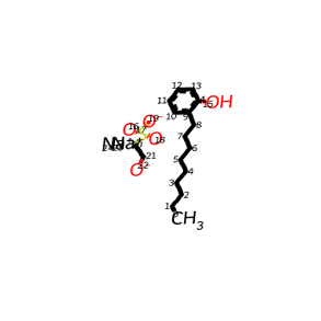 CCCCCCCCCc1ccccc1O.O=S(=O)([O-])CC[O-].[Na+].[Na+]